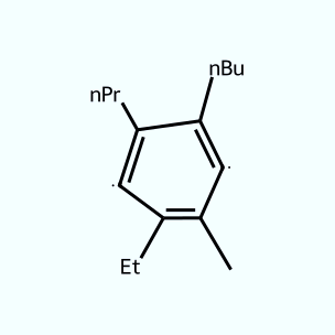 CCCCc1[c]c(C)c(CC)[c]c1CCC